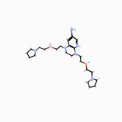 Nc1cnc2c(c1)N(CCOCCN1CCCC1)CCN2CCOCCN1CCCC1